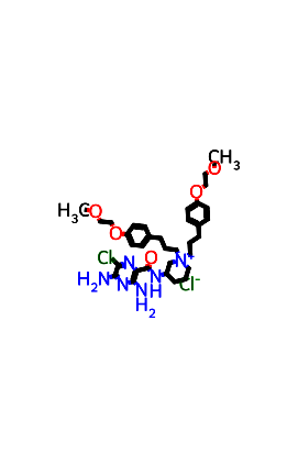 COCCOc1ccc(CCC[N+]2(CCCc3ccc(OCCOC)cc3)CCCC(NC(=O)c3nc(Cl)c(N)nc3N)C2)cc1.[Cl-]